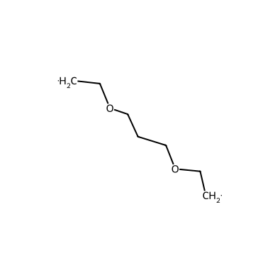 [CH2]COCCCOC[CH2]